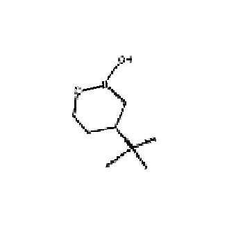 CC(C)(C)[C@H]1CCOB(O)C1